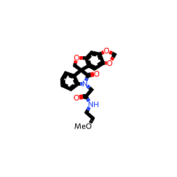 COCCNC(=O)CN1C(=O)C2(COc3cc4c(cc32)OCO4)c2ccccc21